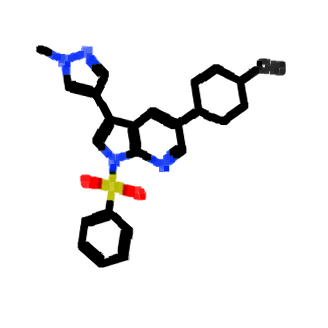 Cn1cc(-c2cn(S(=O)(=O)c3ccccc3)c3ncc(C4CCC(C=O)CC4)cc23)cn1